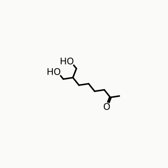 CC(=O)CCCCC(CO)CO